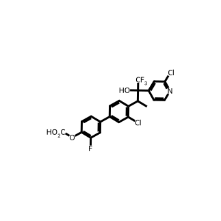 CC(c1ccc(-c2ccc(OC(=O)O)c(F)c2)cc1Cl)C(O)(c1ccnc(Cl)c1)C(F)(F)F